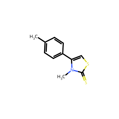 Cc1ccc(-c2csc(=S)n2C)cc1